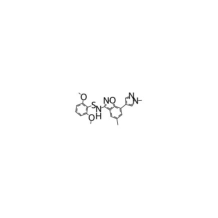 COc1cccc(OC)c1SNc1noc2c(-c3cnn(C)c3)cc(C)cc12